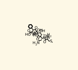 CSC[C@@H](N)C(=O)N[C@@H](CC(N)=O)C(=O)[C@@H](CO)[C@@H](O)[C@@H](O)C(N)(O)C(=O)C(c1ccccc1)[C@H](N)C(=O)O